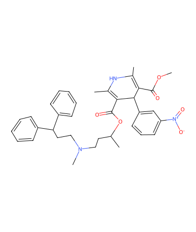 COC(=O)C1=C(C)NC(C)=C(C(=O)OC(C)CCN(C)CCC(c2ccccc2)c2ccccc2)C1c1cccc([N+](=O)[O-])c1